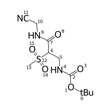 CC(C)(C)OC(=O)NCC(C(=O)NCC#N)S(C)(=O)=O